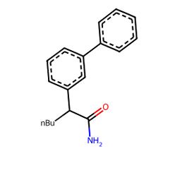 CCCCC(C(N)=O)c1cccc(-c2ccccc2)c1